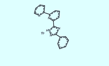 [Tb].c1ccc(-c2n[nH]c(-c3cccc(-c4ccccn4)n3)n2)cc1